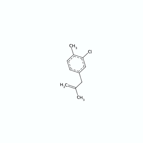 C=C(C)Cc1ccc(C)c(Cl)c1